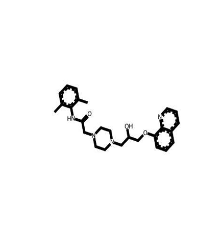 Cc1cccc(C)c1NC(=O)CN1CCN(CC(O)COc2cccc3cccnc23)CC1